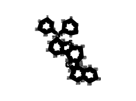 c1ccc(N(c2ccccc2)c2cccc3c2sc2ccc4c(oc5ccc6ccccc6c54)c23)cc1